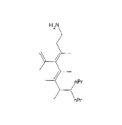 C=C(C)C(=C(/C)CCN)/C(C)=C(\C)C(C)C(CCC)CCC